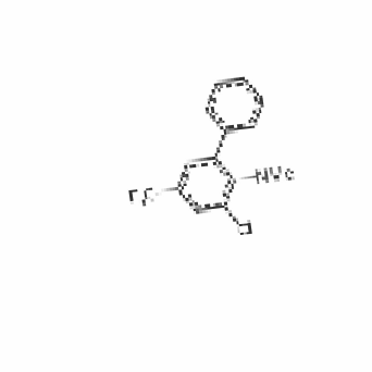 CNc1c(Cl)cc(C(F)(F)F)cc1-c1ccccc1